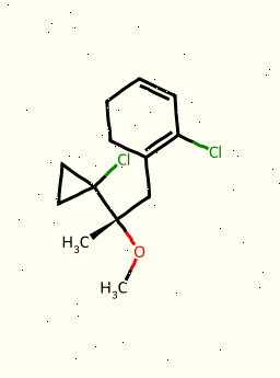 CO[C@@](C)(CC1=C(Cl)C=CCC1)C1(Cl)CC1